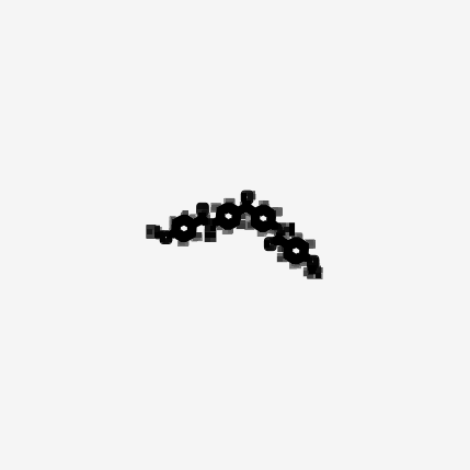 CCOc1ccc(C(=O)Nc2ccc(C(=O)c3ccc(NC(=O)c4ccc(OCC)cc4)cc3)cc2)cc1